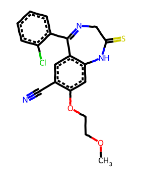 COCCOc1cc2c(cc1C#N)C(c1ccccc1Cl)=NCC(=S)N2